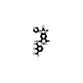 Cc1nnc(N[C@H](C)c2cccc(C(F)F)c2F)c2cc3c(cc12)n(C)c(=O)n3[C@H]1CCOC1